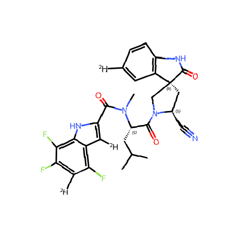 [2H]c1ccc2c(c1)[C@@]1(C[C@@H](C#N)N(C(=O)[C@H](CC(C)C)N(C)C(=O)c3[nH]c4c(F)c(F)c([2H])c(F)c4c3[2H])C1)C(=O)N2